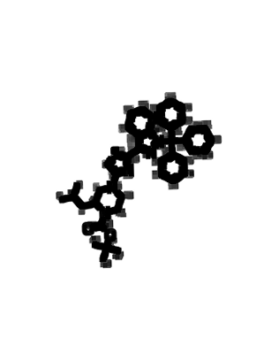 CC(C)CC1CN(c2csc(-c3nn(C(c4ccccc4)(c4ccccc4)c4ccccc4)c4ncccc34)n2)CCN1C(=O)OC(C)(C)C